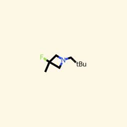 CC(C)(C)CN1CC(C)(F)C1